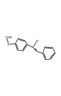 O=COc1ccc([N+]([O-])=Cc2ccccc2)cc1